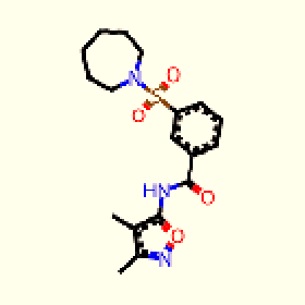 Cc1noc(NC(=O)c2cccc(S(=O)(=O)N3CCCCCC3)c2)c1C